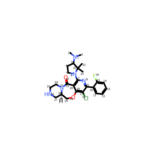 CN(C)C1CCN(c2nc(-c3ccccc3F)c(Cl)c3c2C(=O)N2CCNC[C@@H]2CO3)C1(C)C